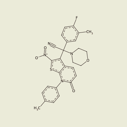 Cc1ccc(-n2c(=O)ccc3c(C(C#N)(c4ccc(F)c(C)c4)N4CCOCC4)c([N+](=O)[O-])sc32)cc1